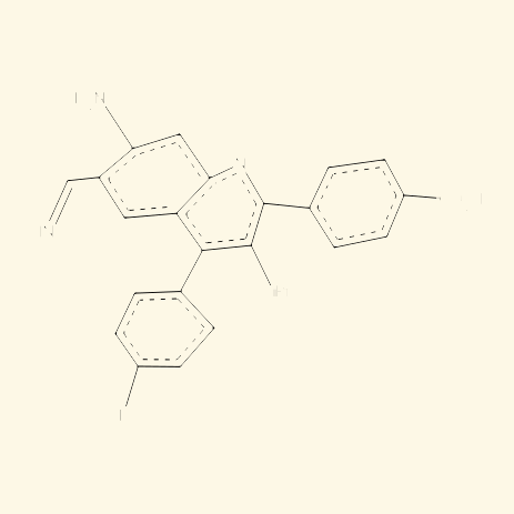 CC(C)c1c(-c2ccc(C(=O)O)cc2)nc2cc(N)c(C=N)cc2c1-c1ccc(F)cc1